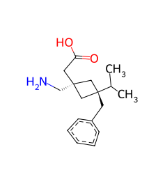 CC(C)[C@]1(Cc2ccccc2)C[C@@](CN)(CC(=O)O)C1